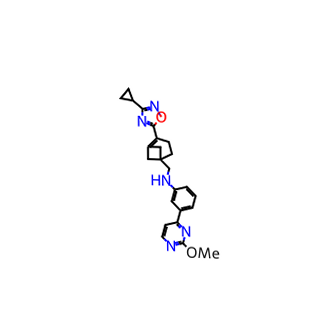 COc1nccc(-c2cccc(NCC34CCC(c5nc(C6CC6)no5)=C(C3)C4)c2)n1